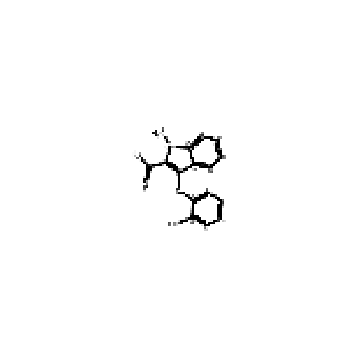 Cn1c(C(=O)O)c(Oc2ccccc2N)c2ccccc21